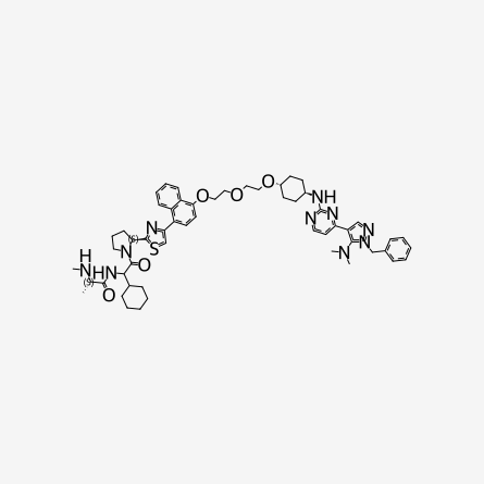 CN[C@@H](C)C(=O)NC(C(=O)N1CCC[C@H]1c1nc(-c2ccc(OCCOCCO[C@H]3CC[C@H](Nc4nccc(-c5cnn(Cc6ccccc6)c5N(C)C)n4)CC3)c3ccccc23)cs1)C1CCCCC1